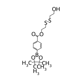 CC1(C)OB(c2ccc(C(=O)OCCSSCCO)cc2)OC1(C)C